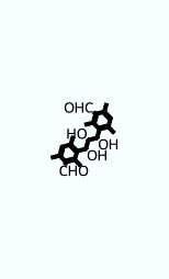 Cc1cc(C)c(C(O)C(O)C(O)c2c(C)cc(C)c(C=O)c2C)c(C)c1C=O